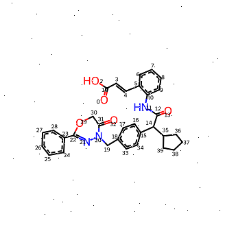 O=C(O)C=Cc1ccccc1NC(=O)C(c1ccc(CN2N=C(c3ccccc3)OCC2=O)cc1)C1CCCC1